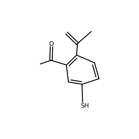 C=C(C)c1ccc(S)cc1C(C)=O